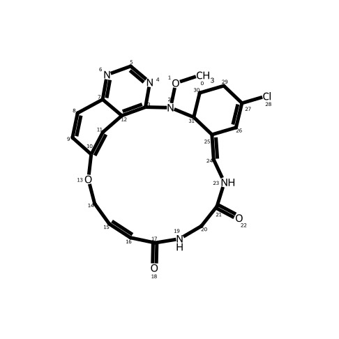 CON1c2ncnc3ccc(cc23)OC/C=C\C(=O)NCC(=O)N/C=C2\C=C(Cl)CCC21